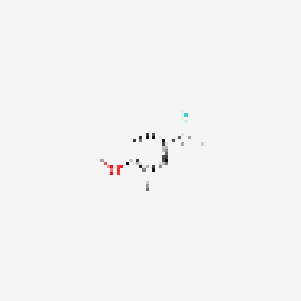 COc1ccc([C@@H](C)F)cc1C